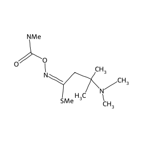 CNC(=O)ON=C(CC(C)(C)N(C)C)SC